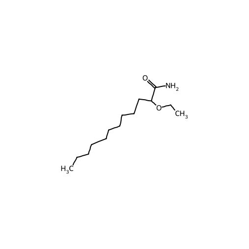 CCCCCCCCCCC(OCC)C(N)=O